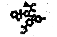 CC(C)(C)OC(=O)N1CCC(C(=O)N2C[C@H](S(=O)(=O)c3ccccc3Cl)C[C@H]2C(=O)N(C#N)C2CC2)(c2ccc(Cl)cc2)CC1